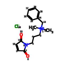 C[N+](C)(CCCN1C(=O)C=CC1=O)Cc1ccccc1.[Cl-]